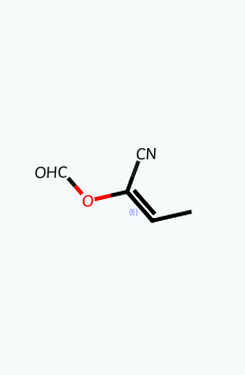 C/C=C(\C#N)OC=O